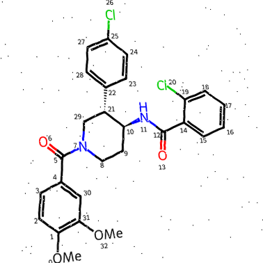 COc1ccc(C(=O)N2CC[C@H](NC(=O)c3ccccc3Cl)[C@@H](c3ccc(Cl)cc3)C2)cc1OC